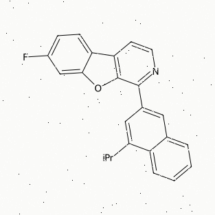 CC(C)c1cc(-c2nccc3c2oc2cc(F)ccc23)cc2ccccc12